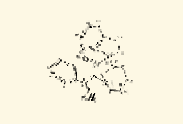 C[C@@H](c1ccccc1)N(C)C(=O)[C@]1(N2CCNCC2)CCc2ccccc21